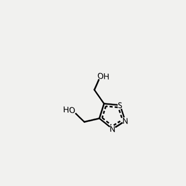 OCc1nnsc1CO